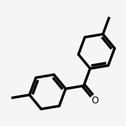 CC1=CC=C(C(=O)C2=CC=C(C)CC2)CC1